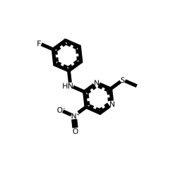 CSc1ncc([N+](=O)[O-])c(Nc2cccc(F)c2)n1